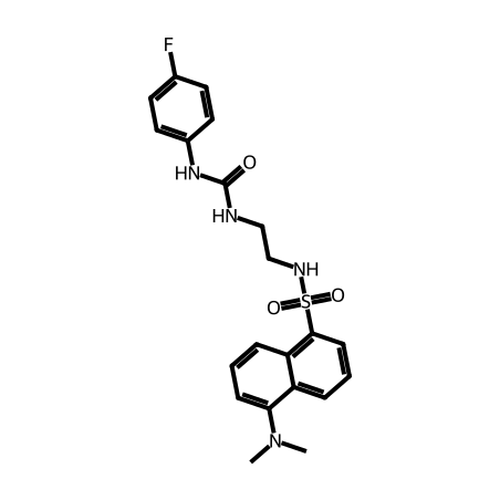 CN(C)c1cccc2c(S(=O)(=O)NCCNC(=O)Nc3ccc(F)cc3)cccc12